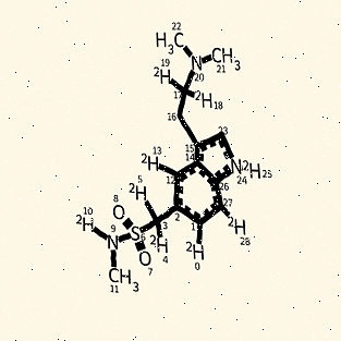 [2H]c1c(C([2H])([2H])S(=O)(=O)N([2H])C)c([2H])c2c(CC([2H])([2H])N(C)C)cn([2H])c2c1[2H]